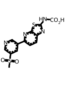 CS(=O)(=O)c1cncc(-c2ccc3nc(NC(=O)O)sc3n2)c1